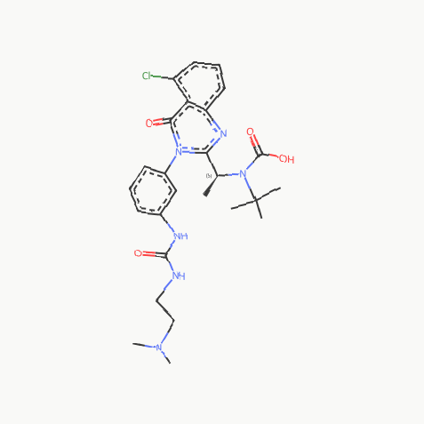 C[C@@H](c1nc2cccc(Cl)c2c(=O)n1-c1cccc(NC(=O)NCCN(C)C)c1)N(C(=O)O)C(C)(C)C